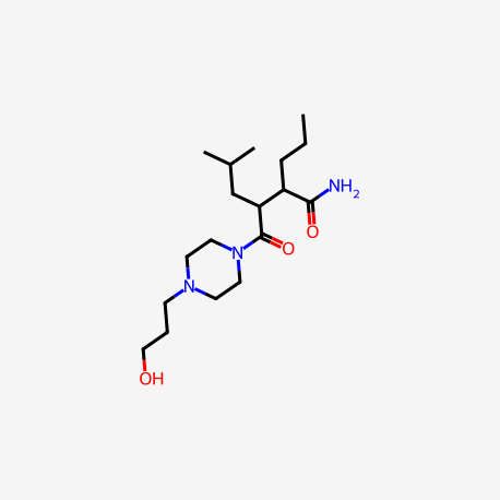 CCCC(C(N)=O)C(CC(C)C)C(=O)N1CCN(CCCO)CC1